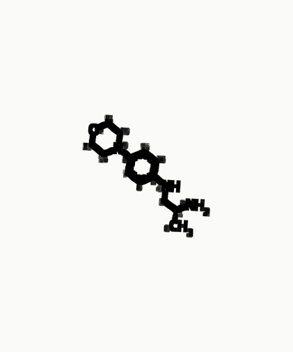 C[C@H](N)CNc1ccc(N2CCOCC2)cc1